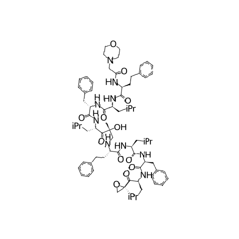 CC(C)C[C@H](NC(=O)[C@H](CCc1ccccc1)NC[C@@](C)(O)C(=O)[C@H](CC(C)C)NC(=O)[C@H](Cc1ccccc1)NC(=O)[C@H](CC(C)C)NC(=O)[C@H](CCc1ccccc1)NC(=O)CN1CCOCC1)C(=O)N[C@@H](Cc1ccccc1)C(=O)N[C@@H](CC(C)C)C(=O)[C@@]1(C)CO1